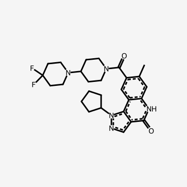 Cc1cc2[nH]c(=O)c3cnn(C4CCCC4)c3c2cc1C(=O)N1CCC(N2CCC(F)(F)CC2)CC1